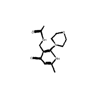 CC(=O)NCc1c(N2CCOCC2)[nH]c(C)cc1=O